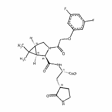 CC1(C)[C@@H]2[C@H](C(=O)N[C@H](C=O)C[C@@H]3CCNC3=O)N(C(=O)COc3cc(F)cc(F)c3)C[C@@H]21